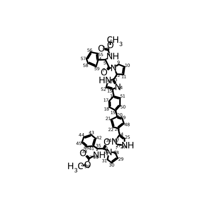 COC(=O)N[C@@H](C(=O)N1CC=CC1c1nc(-c2ccc(-c3ccc(-c4c[nH]c([C@@H]5C=CCN5C(=O)[C@H](NC(=O)OC)c5ccccc5)n4)cc3)cc2)c[nH]1)c1ccccc1